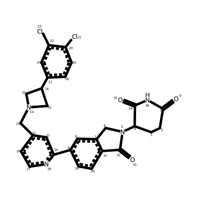 O=C1CCC(N2Cc3cc(-c4cc(CN5CC(c6ccc(Cl)c(Cl)c6)C5)ccn4)ccc3C2=O)C(=O)N1